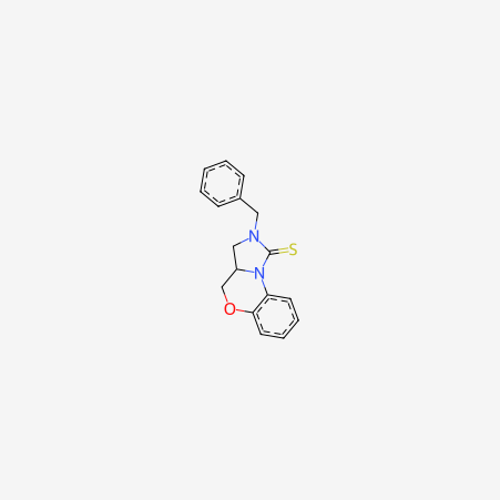 S=C1N(Cc2ccccc2)CC2COc3ccccc3N12